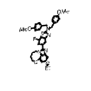 CCOc1cc2c3c(c1)nc(-c1cc(F)c4sc(N(Cc5ccc(OC)cc5)Cc5ccc(OC)cc5)nc4c1)n3CCCCO2